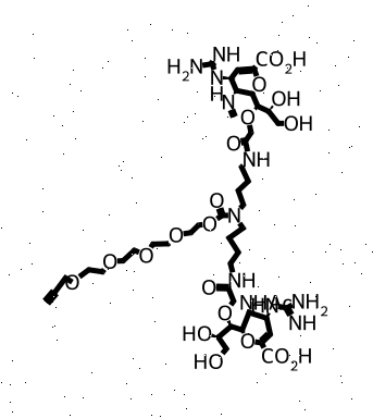 C#CCOCCOCCOCCOCCOC(=O)N(CCCCNC(=O)CO[C@@H]([C@@H]1OC(C(=O)O)=C[C@H](NC(=N)N)[C@H]1N=C)[C@H](O)CO)CCCCNC(=O)CO[C@@H]([C@@H]1OC(C(=O)O)=C[C@H](NC(=N)N)[C@H]1NC(C)=O)[C@H](O)CO